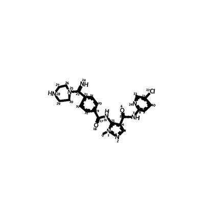 Cn1ncc(C(=O)Nc2ccc(Cl)cn2)c1NC(=O)c1ccc(C(=N)N2CCNCC2)cc1